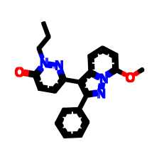 CCCn1nc(-c2c(-c3ccccc3)nn3c(OC)cccc23)ccc1=O